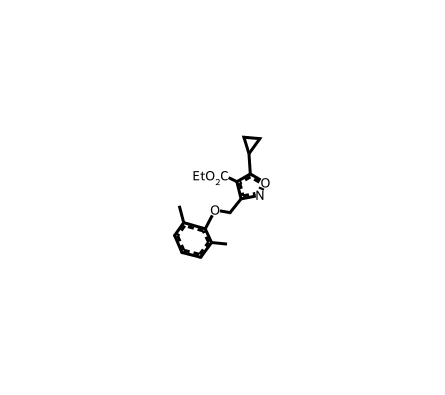 CCOC(=O)c1c(COc2c(C)cccc2C)noc1C1CC1